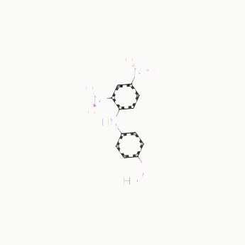 COc1ccc(Nc2ccc([N+](=O)[O-])[c]c2[N+](=O)[O-])cc1